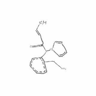 NCc1ccccc1N(C(=O)C=CS(=O)(=O)O)[SH]1C=CC=C1